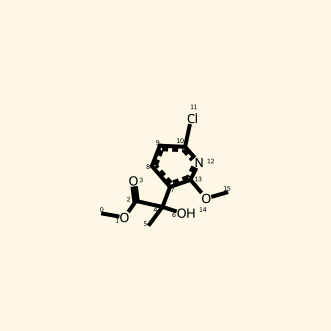 COC(=O)C(C)(O)c1ccc(Cl)nc1OC